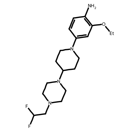 CCOc1cc(N2CCC(N3CCN(CC(F)F)CC3)CC2)ccc1N